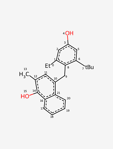 CCc1cc(O)cc(C(C)(C)C)c1Cc1cc(C)c(O)c2ccccc12